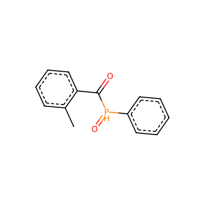 Cc1ccccc1C(=O)[PH](=O)c1ccccc1